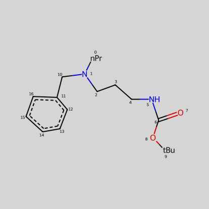 CCCN(CCCNC(=O)OC(C)(C)C)Cc1ccccc1